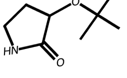 CC(C)(C)OC1CCNC1=O